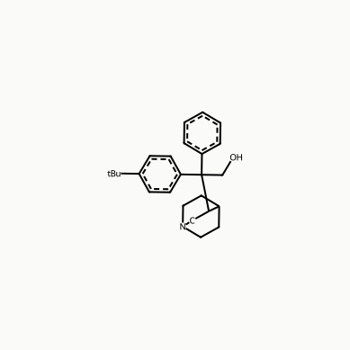 CC(C)(C)c1ccc(C(CO)(c2ccccc2)C2CN3CCC2CC3)cc1